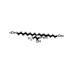 CCCCCC(O)CN.CCCCCCCCCCCCCCCCCC[P]CCCCCCCCCCCCCCCCCC